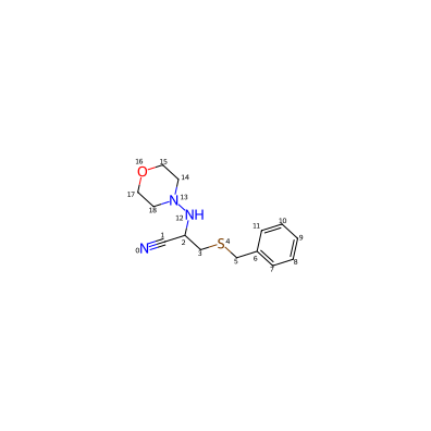 N#CC(CSCc1ccccc1)NN1CCOCC1